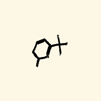 CC1CC=CC(C(F)(F)F)=N1